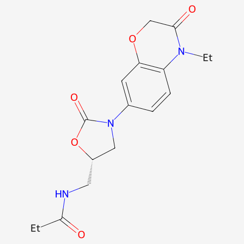 CCC(=O)NC[C@H]1CN(c2ccc3c(c2)OCC(=O)N3CC)C(=O)O1